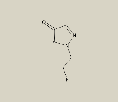 O=C1[C]N(CCF)N=[C]1